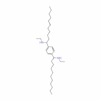 CCCCCCCCCCC(NCC)c1ccc(C(CCCCCCCCCC)NCC)cc1